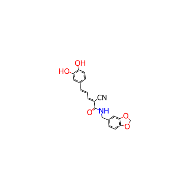 N#C/C(=C\C=C\c1ccc(O)c(O)c1)C(=O)NCc1ccc2c(c1)OCO2